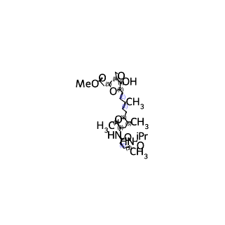 COC(=O)C[C@@H]1C[C@@]2(CO2)[C@H](O)[C@@H](/C=C/C(C)=C/C[C@@H]2O[C@H](C)[C@H](NC(=O)/C=C\[C@H](C)NC(=O)C(C)C)C[C@@H]2C)O1